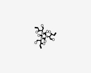 C=CC(=O)C(C=O)n1c(=O)n(C(C=O)C(=O)C=C)c(=O)n(C(C=O)C(=O)C=C)c1=O